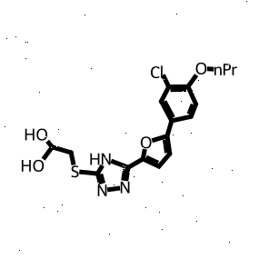 CCCOc1ccc(-c2ccc(-c3nnc(SCC(O)O)[nH]3)o2)cc1Cl